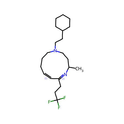 CC1CCN(CCC2CCCCC2)CCC/C=C\C(CCC(F)(F)F)=N/1